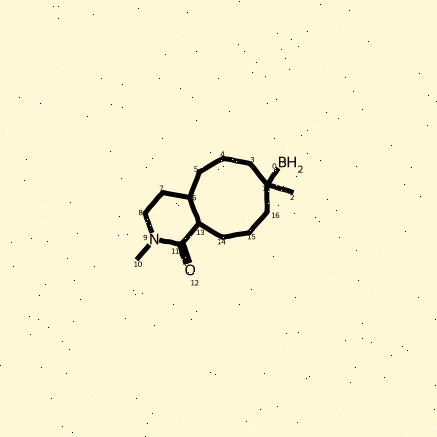 BC1(C)CCCC2CCN(C)C(=O)C2CCC1